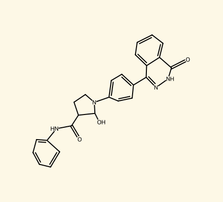 O=C(Nc1ccccc1)C1CCN(c2ccc(-c3n[nH]c(=O)c4ccccc34)cc2)C1O